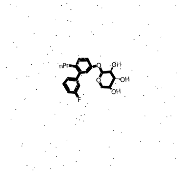 CCCc1ccc(OC2OC[C@H](O)[C@@H](O)[C@@H]2O)cc1-c1cccc(F)c1